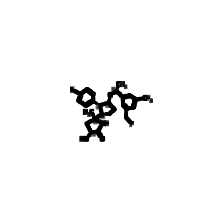 C[C@@H](O[C@H]1CC[C@@H]([C@@]2(C)C[C@H](O)C(=O)N2)[C@@H]1c1ccc(F)cc1)c1cc(CF)cc(C(F)(F)F)c1